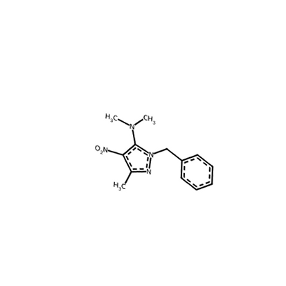 Cc1nn(Cc2ccccc2)c(N(C)C)c1[N+](=O)[O-]